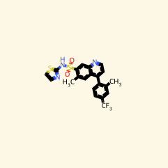 Cc1cc(C(F)(F)F)ccc1-c1ccnc2cc(S(=O)(=O)Nc3nccs3)c(C)cc12